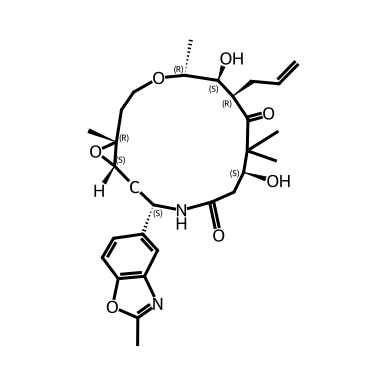 C=CC[C@H]1C(=O)C(C)(C)[C@@H](O)CC(=O)N[C@H](c2ccc3oc(C)nc3c2)C[C@@H]2O[C@]2(C)CCO[C@H](C)[C@H]1O